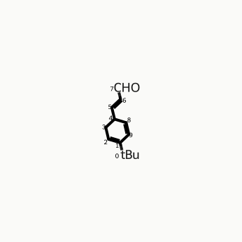 CC(C)(C)C1=CCC(C=CC=O)C=C1